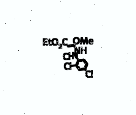 CCOC(=O)C=C(NN(Cl)c1ccc(Cl)cc1Cl)OC